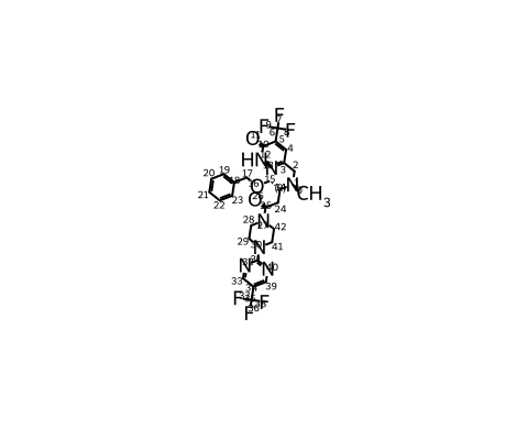 CN(Cc1cc(C(F)(F)F)c(=O)[nH]n1)[C@@H](COCc1ccccc1)CC(=O)N1CCN(c2ncc(C(F)(F)F)cn2)CC1